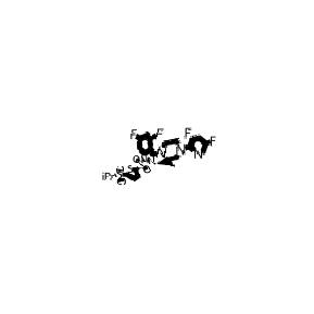 CC(C)S(=O)(=O)c1ccc(S(=O)(=O)n2nc(N3CCN(c4ncc(F)cc4F)CC34CC4)c3c(F)cc(F)cc32)s1